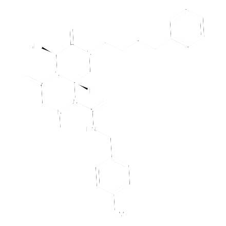 CCC[C@H]1C(=O)N(CCCCc2ccccc2)C[C@H]2N1C(=O)CN(C)N2C(=O)NCc1ccc(OC)cc1